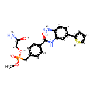 COP(=O)(Cc1ccc(C(=O)Nc2cc(-c3cccs3)ccc2N)cc1)OCC(N)=O